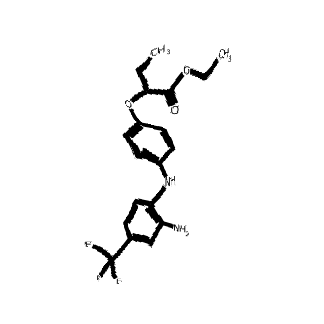 CCOC(=O)C(CC)Oc1ccc(Nc2ccc(C(F)(F)F)cc2N)cc1